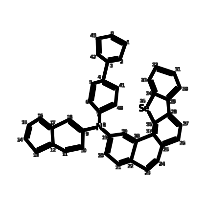 c1ccc(-c2ccc(N(c3ccc4ccccc4c3)c3ccc4ccc5ccc6c7ccccc7[se]c6c5c4c3)cc2)cc1